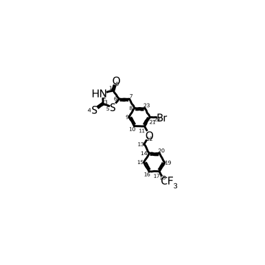 O=C1NC(=S)S/C1=C\c1ccc(OCc2ccc(C(F)(F)F)cc2)c(Br)c1